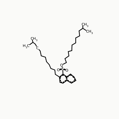 CC(C)CCCCCCCCCCOS(=O)(=O)c1c(CCCCCCCCCCC(C)C)ccc2ccccc12